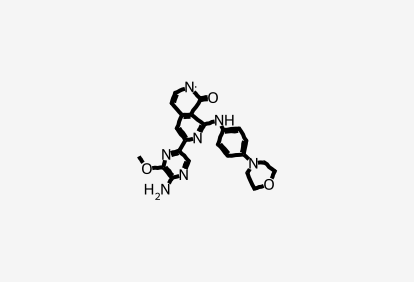 COc1nc(-c2cc3c(c(Nc4ccc(N5CCOCC5)cc4)n2)C(=O)[N]C=C3)cnc1N